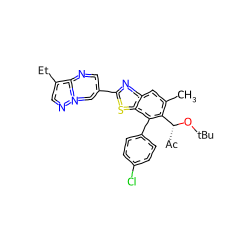 CCc1cnn2cc(-c3nc4cc(C)c([C@H](OC(C)(C)C)C(C)=O)c(-c5ccc(Cl)cc5)c4s3)cnc12